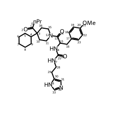 CCCC(=O)C1(C2CCCCC2)CCN(C(=O)C(Cc2ccc(OC)cc2)NC(=O)NCCc2cnc[nH]2)CC1